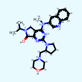 CC(C)N1Cc2c(nc(N3CCCC3CN3CCOCC3)nc2N(C)c2cnc3ccccc3c2)C1=O